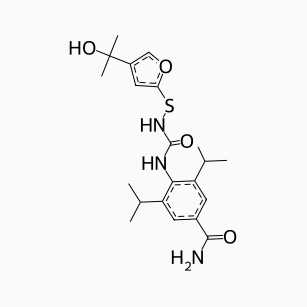 CC(C)c1cc(C(N)=O)cc(C(C)C)c1NC(=O)NSc1cc(C(C)(C)O)co1